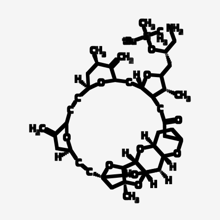 C=C1C[C@@H]2CC[C@@]34C[C@]5(C)O[C@H]6[C@@H](O3)[C@H]3OC(CC[C@@H]3O[C@H]6[C@H]5O4)CC(=O)CC3[C@@H](C)C(C[C@@H](CN)O[Si](C)(C)C(C)(C)C)O[C@H]3CC3O[C@@H](CCC1O2)C[C@@H](C)C3=C